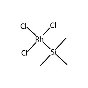 C[Si](C)(C)[Rh]([Cl])([Cl])[Cl]